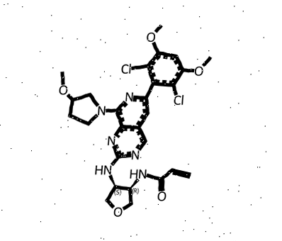 C=CC(=O)N[C@H]1COC[C@H]1Nc1ncc2cc(-c3c(Cl)c(OC)cc(OC)c3Cl)nc(N3CCC(OC)C3)c2n1